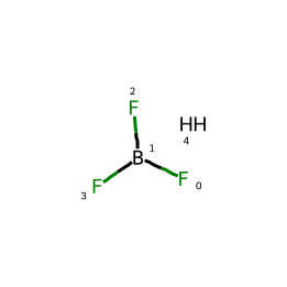 FB(F)F.[HH]